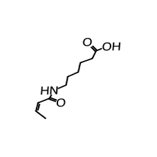 C/C=C\C(=O)NCCCCCC(=O)O